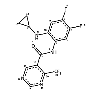 O=C(Nc1cc(F)c(F)cc1NC1CC1)c1cncnc1C(F)(F)F